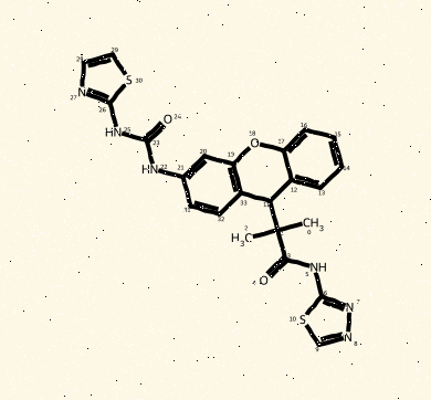 CC(C)(C(=O)Nc1nncs1)C1c2ccccc2Oc2cc(NC(=O)Nc3nccs3)ccc21